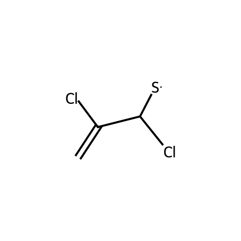 C=C(Cl)C([S])Cl